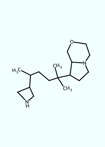 CC(CCC(C)(C)C1CCN2CCOCC12)C1CNC1